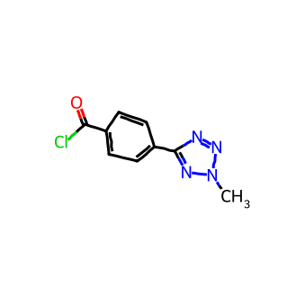 Cn1nnc(-c2ccc(C(=O)Cl)cc2)n1